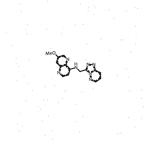 COc1cnc2c(NCc3nnc4cccnn34)ccnc2c1